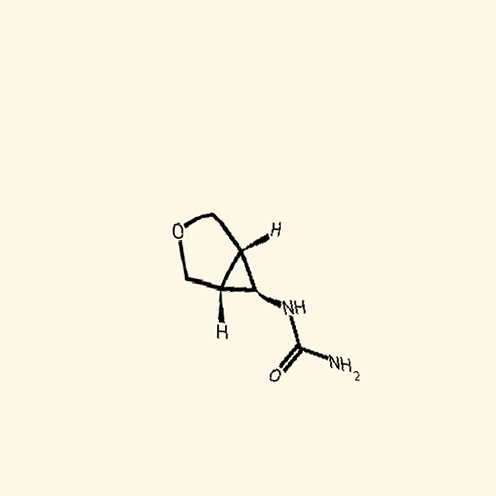 NC(=O)N[C@H]1[C@@H]2COC[C@@H]21